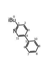 CCC(C)c1ccc(-c2ccccc2)cn1